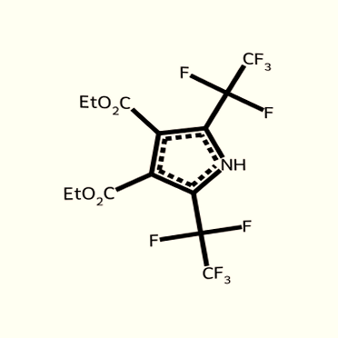 CCOC(=O)c1c(C(F)(F)C(F)(F)F)[nH]c(C(F)(F)C(F)(F)F)c1C(=O)OCC